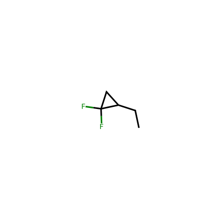 CCC1CC1(F)F